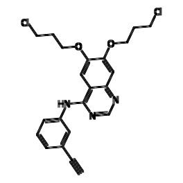 C#Cc1cccc(Nc2ncnc3cc(OCCCCl)c(OCCCCl)cc23)c1